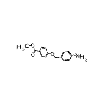 COC(=O)c1ccc(OCc2ccc(N)cc2)cc1